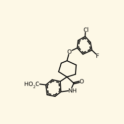 O=C(O)c1ccc2c(c1)C1(CCC(Oc3cc(F)cc(Cl)c3)CC1)C(=O)N2